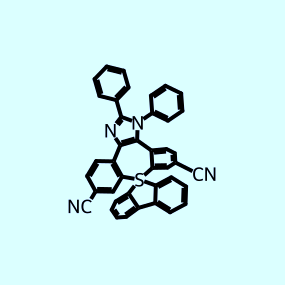 N#Cc1ccc2c(c1)S1(c3ccccc3-c3ccccc31)c1cc(C#N)ccc1-c1c-2nc(-c2ccccc2)n1-c1ccccc1